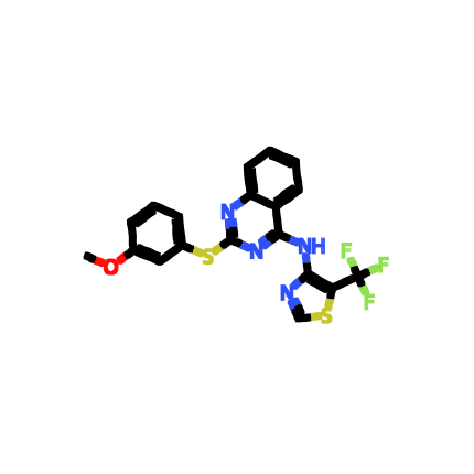 COc1cccc(Sc2nc(Nc3ncsc3C(F)(F)F)c3ccccc3n2)c1